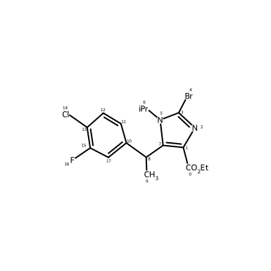 CCOC(=O)c1nc(Br)n(C(C)C)c1C(C)c1ccc(Cl)c(F)c1